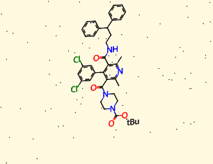 Cc1nc(C)c(C(=O)N2CCN(C(=O)OC(C)(C)C)CC2)c(-c2cc(Cl)cc(Cl)c2)c1C(=O)NCCC(c1ccccc1)c1ccccc1